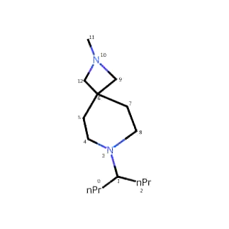 CCCC(CCC)N1CCC2(CC1)CN(C)C2